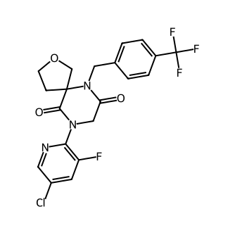 O=C1CN(c2ncc(Cl)cc2F)C(=O)C2(CCOC2)N1Cc1ccc(C(F)(F)F)cc1